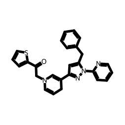 O=C(CN1C=CCC(c2cc(Cc3ccccc3)n(-c3ccccn3)n2)=C1)c1cccs1